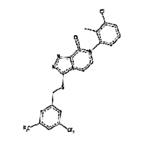 Cc1c(Cl)cccc1-n1ccn2c(SCc3cc(C(F)(F)F)cc(C(F)(F)F)c3)nnc2c1=O